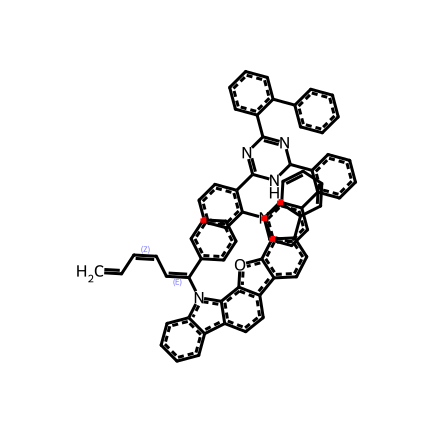 C=C/C=C\C=C(/c1ccccc1)n1c2ccccc2c2ccc3c4ccc5c(c4oc3c21)N(c1ccccc1C1=NC(c2ccccc2-c2ccccc2)=NC(c2ccccc2-c2ccccc2)N1)C1C=CC=CC51